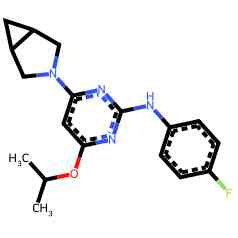 CC(C)Oc1cc(N2CC3CC3C2)nc(Nc2ccc(F)cc2)n1